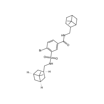 CC1(C)C2CCC(CNC(=O)c3ccc(Br)c(S(=O)(=O)NC[C@@H]4C[C@@H]5C[C@H](C4)C5(C)C)c3)C1C2